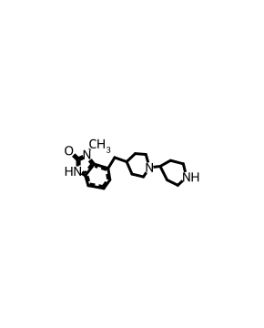 Cn1c(=O)[nH]c2cccc(CC3CCN(C4CCNCC4)CC3)c21